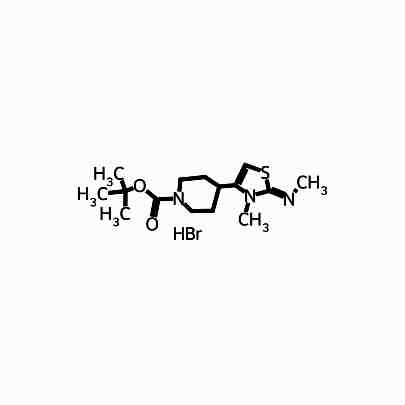 Br.C/N=c1\scc(C2CCN(C(=O)OC(C)(C)C)CC2)n1C